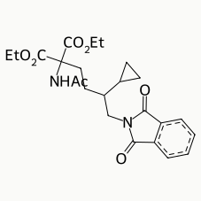 CCOC(=O)C(CCC(CN1C(=O)c2ccccc2C1=O)C1CC1)(NC(C)=O)C(=O)OCC